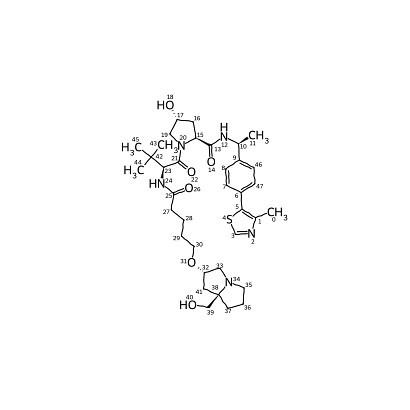 Cc1ncsc1-c1ccc([C@H](C)NC(=O)[C@@H]2C[C@@H](O)CN2C(=O)[C@@H](NC(=O)CCCCO[C@@H]2CN3CCC[C@]3(CO)C2)C(C)(C)C)cc1